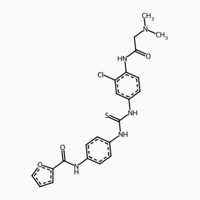 CN(C)CC(=O)Nc1ccc(NC(=S)Nc2ccc(NC(=O)c3ccco3)cc2)cc1Cl